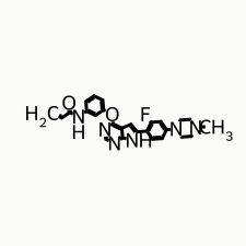 C=CC(=O)Nc1cccc(Oc2ncnc3[nH]c(-c4ccc(N5CCN(C)CC5)cc4F)cc23)c1